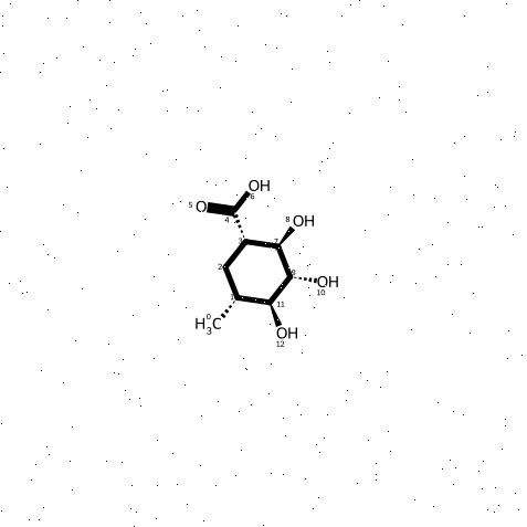 C[C@@H]1C[C@H](C(=O)O)[C@@H](O)[C@H](O)[C@H]1O